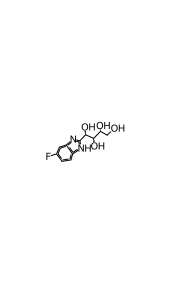 OC[C@@H](O)[C@@H](O)[C@H](O)c1nc2cc(F)ccc2[nH]1